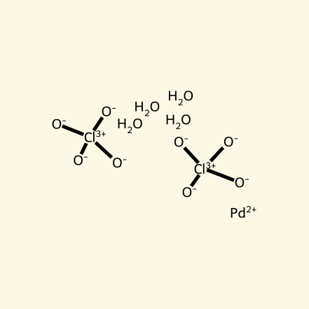 O.O.O.O.[O-][Cl+3]([O-])([O-])[O-].[O-][Cl+3]([O-])([O-])[O-].[Pd+2]